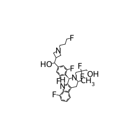 C[C@H]1Cc2c([nH]c3c(F)cccc23)[C@@H](c2c(F)cc(C(O)C3CN(CCCF)C3)cc2F)N1CC(F)(F)CO